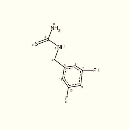 NC(=S)NCc1cc(F)cc(F)c1